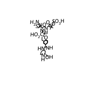 CC1(C)[C@H](NC(=O)/C(=N\O[C@](C)(C(=O)O)[C@H]2CCc3cc(C(=N)N[C@H]4CCN[C@H](CO)C4)ccc3O2)c2csc(N)n2)C(=O)N1OS(=O)(=O)O